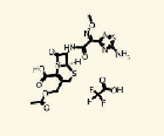 CON=C(C(=O)N[C@@H]1C(=O)N2C(C(=O)O)=C(COC(C)=O)CS[C@H]12)c1nsc(N)n1.O=C(O)C(F)(F)F